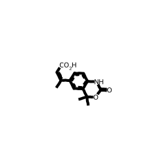 C/C(=C/C(=O)O)c1ccc2c(c1)C(C)(C)OC(=O)N2